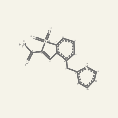 NC(=O)C1=Cc2c(Cc3ccccn3)cccc2S1(=O)=O